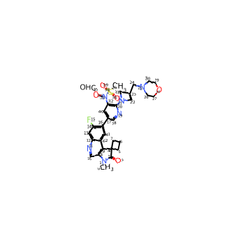 CN1C(=O)C2(CCC2)c2c1cnc1cc(F)c(-c3cnc(N4CC(CN5CCOCC5)C4)c(N(OC=O)S(C)(=O)=O)c3)cc21